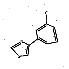 Clc1cccc(-c2cscn2)c1